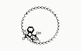 C=CC(C(=O)O)C1=C(c2ccccc2)N2CCCCCCCCCCCCCCCCCCCCCCCCCCCCCCN(CCC2=O)C1(C)C